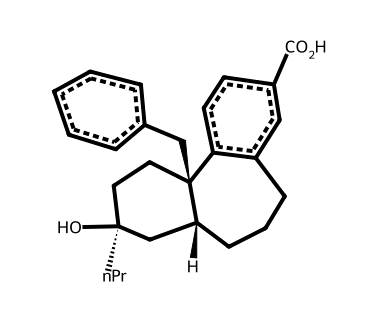 CCC[C@]1(O)CC[C@]2(Cc3ccccc3)c3ccc(C(=O)O)cc3CCC[C@@H]2C1